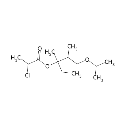 CCC(C)(OC(=O)C(C)Cl)C(C)COC(C)C